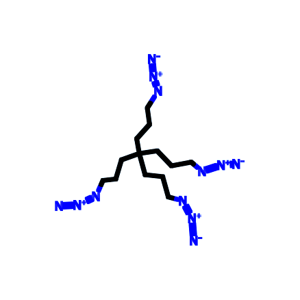 [N-]=[N+]=NCCCC(CCCN=[N+]=[N-])(CCCN=[N+]=[N-])CCCN=[N+]=[N-]